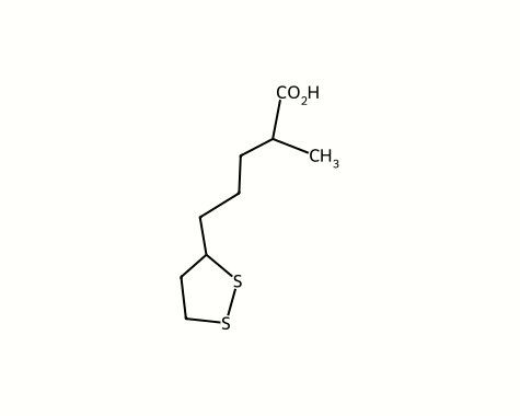 CC(CCCC1CCSS1)C(=O)O